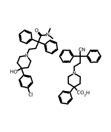 CN(C)C(=O)C(CCN1CCC(O)(c2ccc(Cl)cc2)CC1)(c1ccccc1)c1ccccc1.N#CC(CCN1CCC(C(=O)O)(c2ccccc2)CC1)(c1ccccc1)c1ccccc1